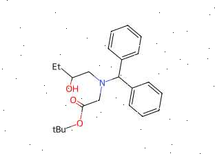 CCC(O)CN(CC(=O)OC(C)(C)C)C(c1ccccc1)c1ccccc1